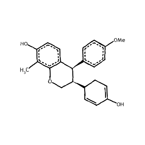 COc1ccc([C@@H]2c3ccc(O)c(C)c3OC[C@@H]2C2C=CC(O)=CC2)cc1